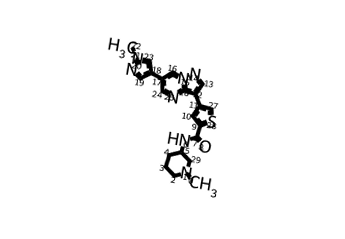 CN1CCCC(NC(=O)c2cc(-c3cnn4cc(-c5cnn(C)c5)cnc34)cs2)C1